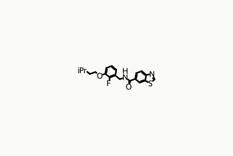 CC(C)CCOc1cccc(CNC(=O)c2ccc3ncsc3c2)c1F